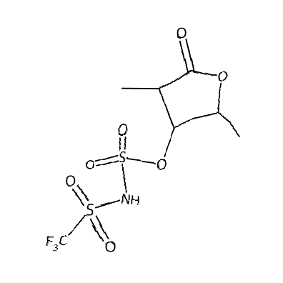 CC1OC(=O)C(C)C1OS(=O)(=O)NS(=O)(=O)C(F)(F)F